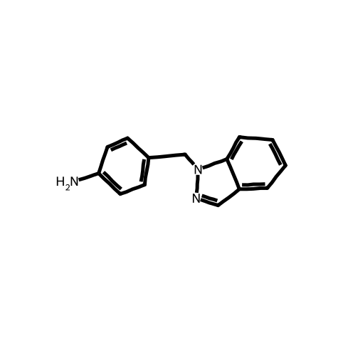 Nc1ccc(Cn2ncc3ccccc32)cc1